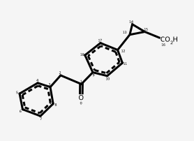 O=C(Cc1ccccc1)c1ccc(C2CC2C(=O)O)cc1